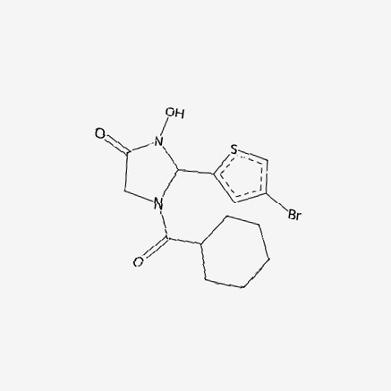 O=C1CN(C(=O)C2CCCCC2)C(c2cc(Br)cs2)N1O